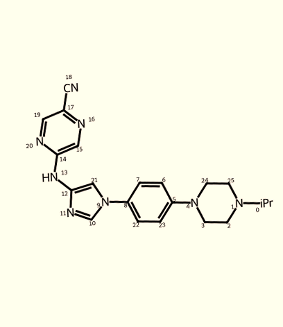 CC(C)N1CCN(c2ccc(-n3cnc(Nc4cnc(C#N)cn4)c3)cc2)CC1